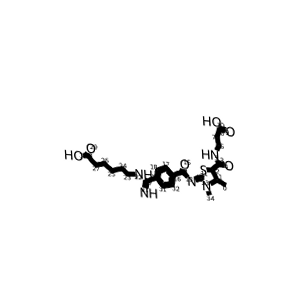 CC1C(C(=O)NCCC(=O)O)SC(=NC(=O)c2ccc(C(=N)NCCCCCC(=O)O)cc2)N1C